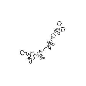 CC(C)(C)[Si](C)(C)OC(CNCCCCCNS(=O)(=O)CCN1CCC(OC(=O)Nc2ccccc2-c2ccccc2)CC1)c1ccc(OCc2ccccc2)c2[nH]c(=O)ccc12